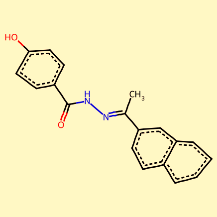 CC(=NNC(=O)c1ccc(O)cc1)c1ccc2ccccc2c1